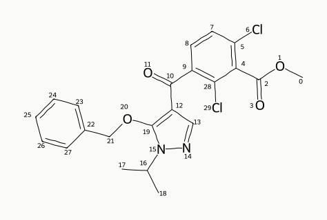 COC(=O)c1c(Cl)ccc(C(=O)c2cnn(C(C)C)c2OCc2ccccc2)c1Cl